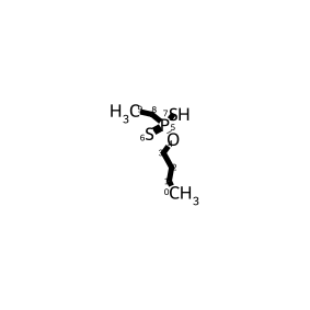 CCCCOP(=S)(S)CC